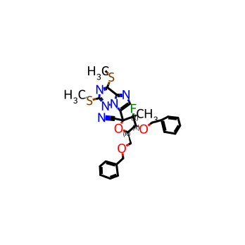 CSc1nc(SC)c2ncc(C3(C#N)O[C@H](COCc4ccccc4)[C@@H](OCc4ccccc4)[C@@]3(C)F)n2n1